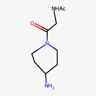 CC(=O)NCC(=O)N1CCC(N)CC1